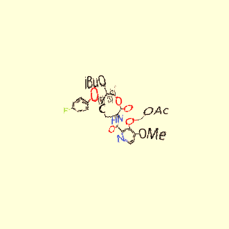 COc1ccnc(C(=O)N[C@H]2CCC[C@H](Oc3ccc(F)cc3)[C@@H](OCC(C)C)[C@H](C)OC2=O)c1OCOC(C)=O